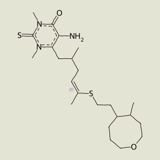 C/C(=C/CC(C)Cc1c(N)c(=O)n(C)c(=S)n1C)SCCC1CCCOCCC1C